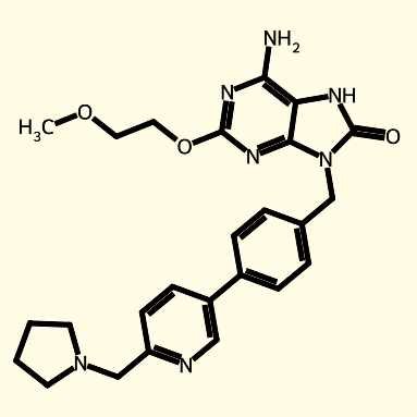 COCCOc1nc(N)c2[nH]c(=O)n(Cc3ccc(-c4ccc(CN5CCCC5)nc4)cc3)c2n1